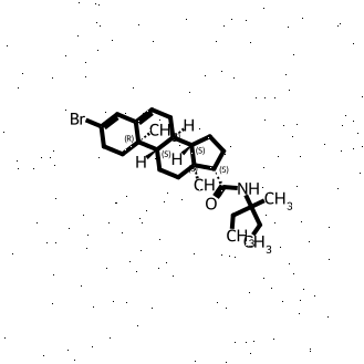 CCC(C)(CC)NC(=O)[C@H]1CC[C@H]2[C@@H]3CC=C4C=C(Br)CC[C@]4(C)[C@H]3CC[C@]12C